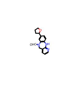 O=CN1Cc2cccnc2Nc2ccc(C3CCCO3)cc21